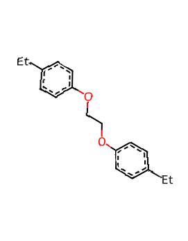 CCc1ccc(OCCOc2ccc(CC)cc2)cc1